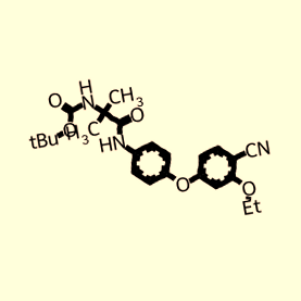 CCOc1cc(Oc2ccc(NC(=O)C(C)(C)NC(=O)OC(C)(C)C)cc2)ccc1C#N